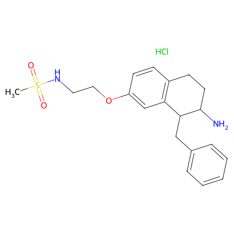 CS(=O)(=O)NCCOc1ccc2c(c1)C(Cc1ccccc1)C(N)CC2.Cl